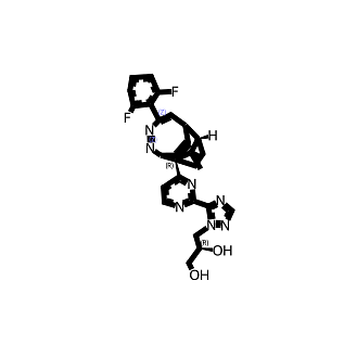 CC1(C)[C@H]2CC[C@]1(c1ccnc(-c3ncnn3C[C@@H](O)CO)n1)C1C#CC2/C=C(c2c(F)cccc2F)\N=N/1